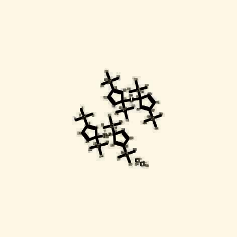 C[Si](C)(C)C1=C[C]([Th+2][C]2([Si](C)(C)C)C=CC([Si](C)(C)C)=C2)([Si](C)(C)C)C=C1.C[Si](C)(C)C1=C[C]([U][C]2([Si](C)(C)C)C=CC([Si](C)(C)C)=C2)([Si](C)(C)C)C=C1.[Cl-].[Cl-]